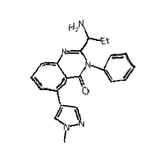 CCC(N)c1nc2cccc(-c3cnn(C)c3)c2c(=O)n1-c1ccccc1